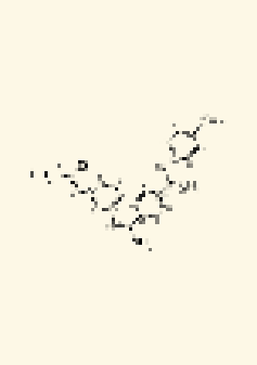 CC/C(=C\c1ccc2c(c1)nc(N)c1ncc(C(C)Cc3ccc(OC)cc3)cc12)C(=O)O